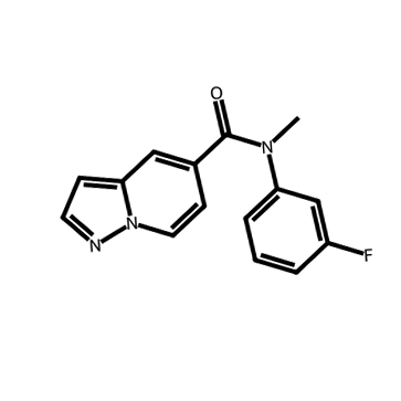 CN(C(=O)c1ccn2nccc2c1)c1cccc(F)c1